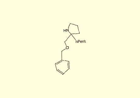 CCCCCC1(COCc2ccccc2)CCCN1